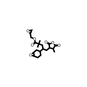 CC1C(=O)OC(=O)C1CC(CC(C)(C)C(=O)OCC1CO1)C1CCC2OC2C1